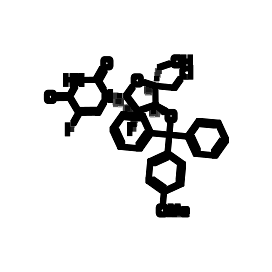 COc1ccc(C(O[C@H]2[C@H](F)[C@H](n3cc(F)c(=O)[nH]c3=O)O[C@@]2(CO)CCl)(c2ccccc2)c2ccccc2)cc1